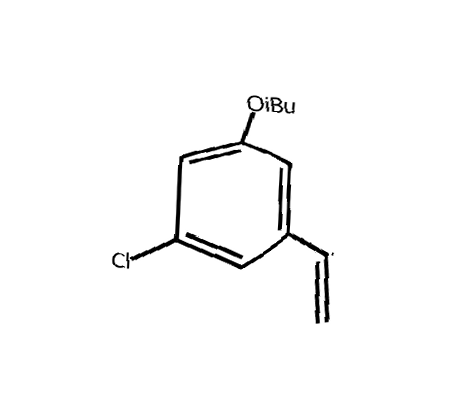 C=[C]c1cc(Cl)cc(OCC(C)C)c1